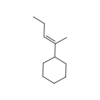 CCC=C(C)C1CCCCC1